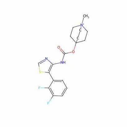 C[N+]12CCC(OC(=O)Nc3ncsc3-c3cccc(F)c3F)(CC1)CC2